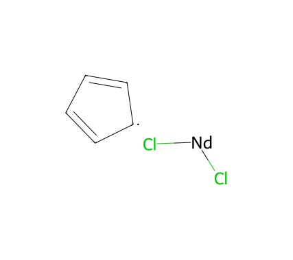 [CH]1C=CC=C1.[Cl][Nd][Cl]